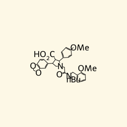 CCCCN(Cc1ccccc1OC)C(=O)CN1CC(c2ccc3c(c2)OCO3)C(C(=O)O)C1c1ccc(OC)cc1